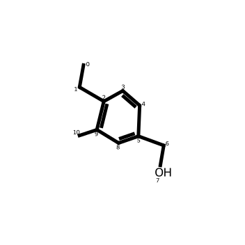 CCc1ccc(CO)cc1C